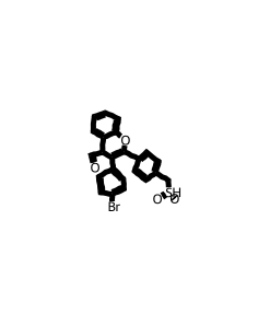 O=CC1C(c2ccc(Br)cc2)=C(c2ccc(C[SH](=O)=O)cc2)Oc2ccccc21